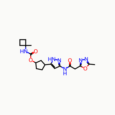 Cc1nnc(CC(=O)Nc2cc(C3CCC(OC(=O)NC4(C)CCC4)C3)[nH]n2)o1